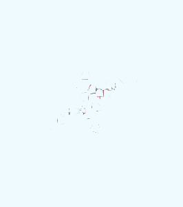 N#Cc1ccc(-c2cccc(-n3c4ccc(-c5ccc(C(F)(F)F)cc5C(F)(F)F)cc4c4cc(-c5ccc(C(F)(F)F)cc5C(F)(F)F)ccc43)c2-c2c(C#N)cccc2-n2c3ccc(-c4ccc(C(F)(F)F)cc4C(F)(F)F)cc3c3cc(-c4ccc(C(F)(F)F)cc4C(F)(F)F)ccc32)c(C(F)(F)F)c1